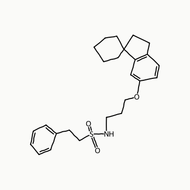 O=S(=O)(CCc1ccccc1)NCCCOc1ccc2c(c1)C1(CCCCC1)CC2